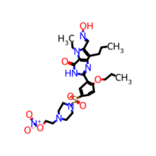 CCCOc1ccc(S(=O)(=O)N2CCN(CCO[N+](=O)[O-])CC2)cc1-c1nc2c(CCC)c(C=NO)n(CC)c2c(=O)[nH]1